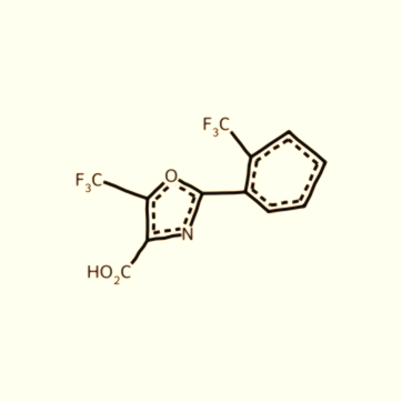 O=C(O)c1nc(-c2ccccc2C(F)(F)F)oc1C(F)(F)F